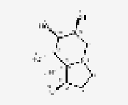 O[C@@H]1[C@@H](O)[C@@H](O)CN2CC[C@@H](O)[C@@H]12